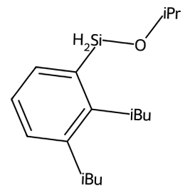 CCC(C)c1cccc([SiH2]OC(C)C)c1C(C)CC